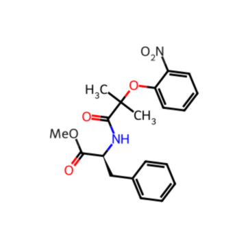 COC(=O)[C@H](Cc1ccccc1)NC(=O)C(C)(C)Oc1ccccc1[N+](=O)[O-]